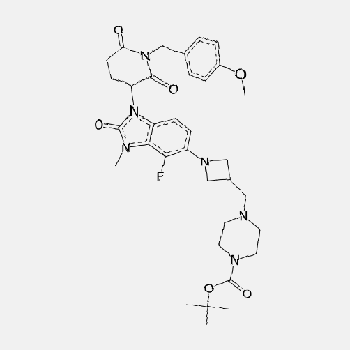 COc1ccc(CN2C(=O)CCC(n3c(=O)n(C)c4c(F)c(N5CC(CN6CCN(C(=O)OC(C)(C)C)CC6)C5)ccc43)C2=O)cc1